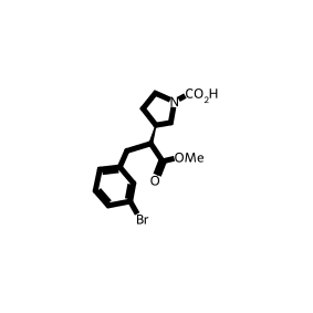 COC(=O)C(Cc1cccc(Br)c1)[C@H]1CCN(C(=O)O)C1